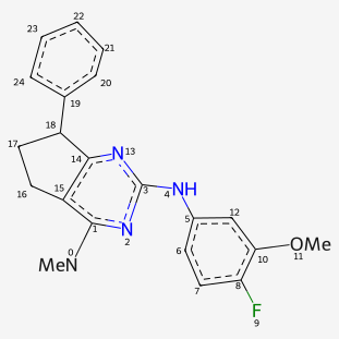 CNc1nc(Nc2ccc(F)c(OC)c2)nc2c1CCC2c1ccccc1